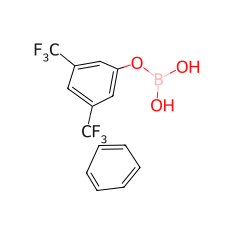 OB(O)Oc1cc(C(F)(F)F)cc(C(F)(F)F)c1.c1ccccc1